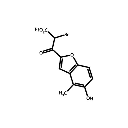 CCOC(=O)C(Br)C(=O)c1cc2c(C)c(O)ccc2o1